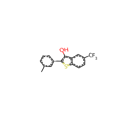 Cc1cccc(-c2sc3ccc(C(F)(F)F)cc3c2O)c1